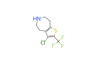 FC(F)(F)c1sc2c(c1Cl)CCNCC2